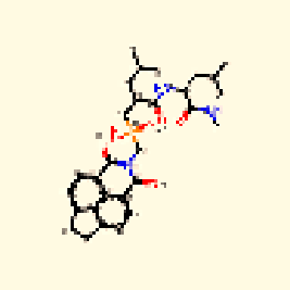 CNC(=O)[C@H](CC(C)C)NC(=O)C(CC(C)C)CP(=O)(O)CN1C(=O)c2ccc3c4c(ccc(c24)C1=O)CC3